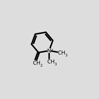 C=C1C=CC=C[N+]1(C)C